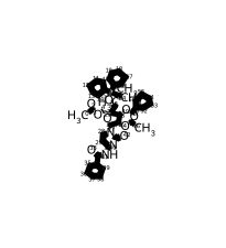 CC(=O)OC[C@@]1(CO[Si](c2ccccc2)(c2ccccc2)C(C)(C)C)O[C@@H](n2ccc(NC(=O)c3ccccc3)nc2=O)[C@@H](OC(C)=O)C1OCc1ccccc1